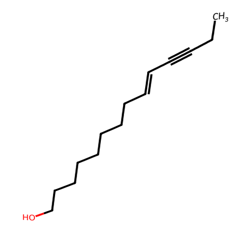 CCC#CC=CCCCCCCCCO